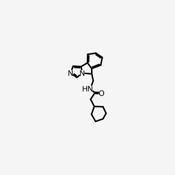 O=C(CC1CCCCC1)NCC1c2ccccc2-c2cncn21